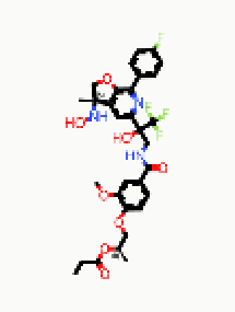 CCC(=O)O[C@H](C)COc1ccc(C(=O)NCC(O)(c2cc3c(c(-c4ccc(F)cc4)n2)OC[C@@]3(C)NO)C(F)(F)F)cc1OC